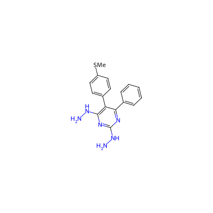 CSc1ccc(-c2c(NN)nc(NN)nc2-c2ccccc2)cc1